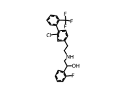 OC(CNCCc1ccc(-c2ccccc2C(F)(F)F)c(Cl)c1)c1ccccc1F